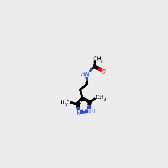 CC(=O)NCCc1c(C)n[nH]c1C